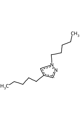 CCCCCc1[c]nn(CCCCC)c1